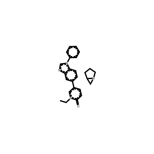 C1CC2CN2C1.CCn1cc(-c2ccc3c(c2)ncn3-c2ccccc2)ccc1=O